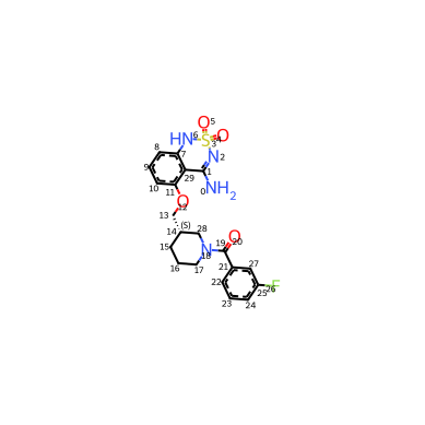 NC1=NS(=O)(=O)Nc2cccc(OC[C@H]3CCCN(C(=O)c4cccc(F)c4)C3)c21